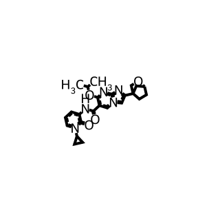 CC(C)Oc1nc2nc(C34CCC(C3)OC4)cn2cc1C(=O)Nc1cccn(C2CC2)c1=O